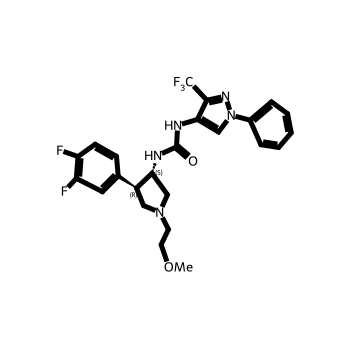 COCCN1C[C@@H](NC(=O)Nc2cn(-c3ccccc3)nc2C(F)(F)F)[C@H](c2ccc(F)c(F)c2)C1